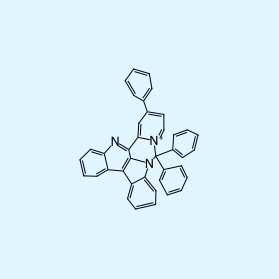 c1ccc(-c2cc[n+]3c(c2)-c2nc4ccccc4c4c5ccccc5n(c24)C3(c2ccccc2)c2ccccc2)cc1